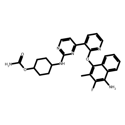 Cc1c(F)c(N)c2ccccc2c1Oc1ncccc1-c1ccnc(NC2CCC(OC(N)=O)CC2)n1